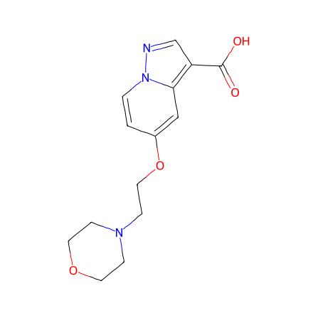 O=C(O)c1cnn2ccc(OCCN3CCOCC3)cc12